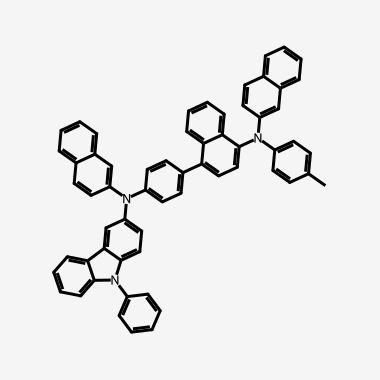 Cc1ccc(N(c2ccc3ccccc3c2)c2ccc(-c3ccc(N(c4ccc5ccccc5c4)c4ccc5c(c4)c4ccccc4n5-c4ccccc4)cc3)c3ccccc23)cc1